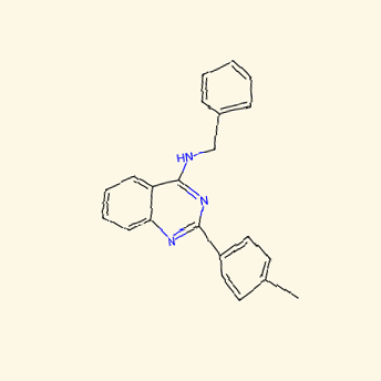 Cc1ccc(-c2nc(NCc3ccccc3)c3ccccc3n2)cc1